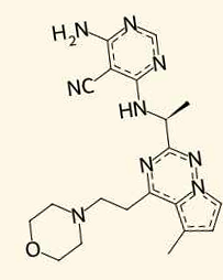 Cc1ccn2nc([C@H](C)Nc3ncnc(N)c3C#N)nc(CCN3CCOCC3)c12